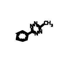 Cc1nnc(-c2c[c]ccc2)nn1